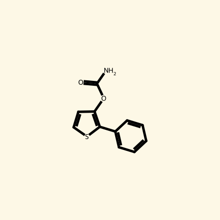 NC(=O)Oc1ccsc1-c1ccccc1